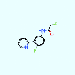 O=C(CF)Nc1ccc(F)c(-c2ccccn2)c1